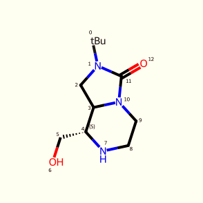 CC(C)(C)N1CC2[C@@H](CO)NCCN2C1=O